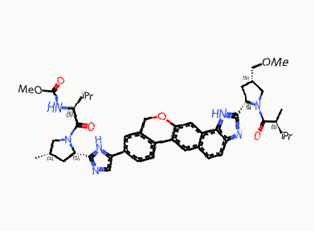 COC[C@H]1C[C@@H](c2nc3ccc4cc5c(cc4c3[nH]2)OCc2cc(-c3cnc([C@@H]4C[C@H](C)CN4C(=O)[C@@H](NC(=O)OC)C(C)C)[nH]3)ccc2-5)N(C(=O)[C@@H](C)C(C)C)C1